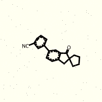 N#Cc1cccc(-c2ccc3c(c2)C(=O)C2(CCCC2)C3)c1